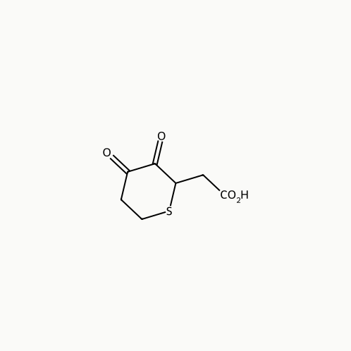 O=C(O)CC1SCCC(=O)C1=O